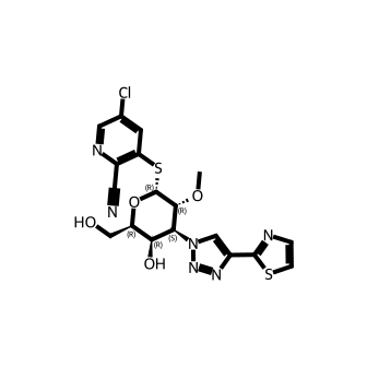 CO[C@@H]1[C@@H](n2cc(-c3nccs3)nn2)[C@@H](O)[C@@H](CO)O[C@@H]1Sc1cc(Cl)cnc1C#N